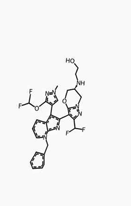 Cn1cc(-c2c3cccn(Cc4ccccc4)c-3nc2-c2c(C(F)F)nn3c2OC[C@@H](NCCO)C3)c(OC(F)F)n1